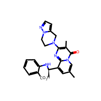 Cc1cc([C@@H](C)Nc2ccccc2C(=O)O)c2nc(N3CCn4nccc4C3)c(C)c(=O)n2c1